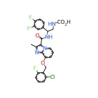 Cc1nc2c(OCc3c(F)cccc3Cl)cccn2c1C(=O)NC(CNC(=O)O)c1ccc(F)c(F)c1